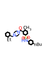 CCCCc1ccc(NS(=O)(=O)c2ccc(C)c(C(=O)N3CCN(Cc4ccccc4CC)CC3)c2)cc1